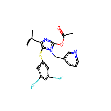 CC(=O)Oc1nc(C(C)C)c(Sc2cc(F)cc(F)c2)n1Cc1cccnc1